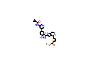 CC(=O)c1ccc(-c2nccc3[nH]c(-c4n[nH]c5ccc(-c6cncc(NC(=O)C7CC7)c6)cc45)cc23)s1